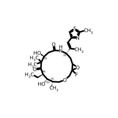 CC[C@H]1C(=O)C(C)(C)[C@@H](O)CC(=O)N[C@H](C(C)=Cc2csc(C)n2)CC2OC2(F)COC[C@H](C)[C@@H]1O